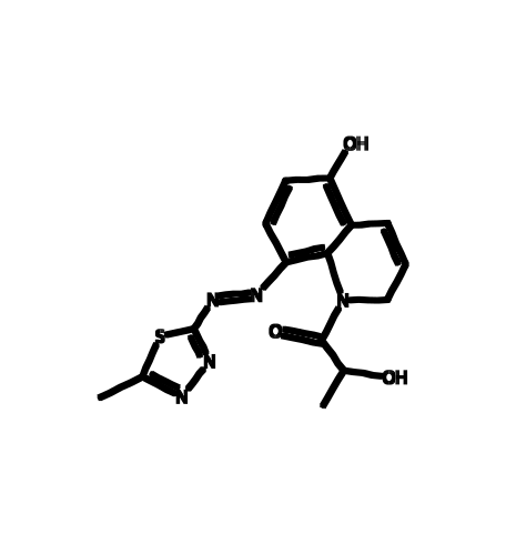 Cc1nnc(/N=N/c2ccc(O)c3c2N(C(=O)C(C)O)CC=C3)s1